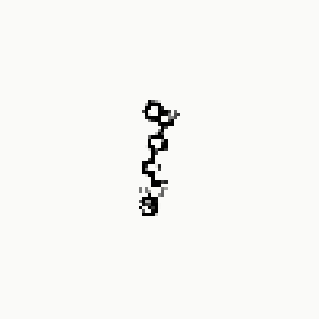 O=C(N[C@H]1CN2CCC1CC2)c1ccc(-c2ccc(-c3c[nH]c4ccccc34)cc2)o1